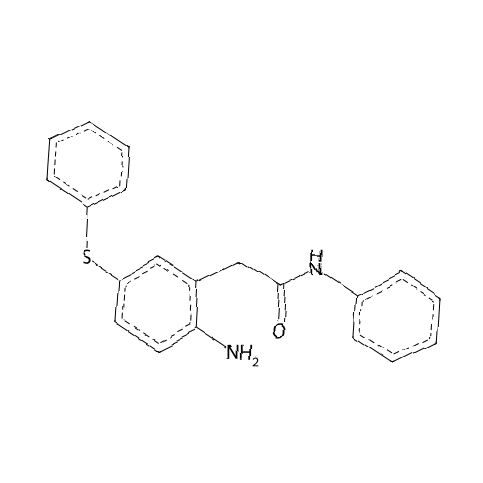 Nc1ccc(Sc2ccccc2)cc1CC(=O)Nc1ccccc1